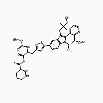 CO[C@@H](C)c1ncccc1-c1c(CC(C)(C)CO)c2cc(-c3nc(C[C@H](NC(=O)OC(C)(C)C)C(=O)OC(=O)C4CCCNN4)ns3)ccc2n1CC(F)(F)F